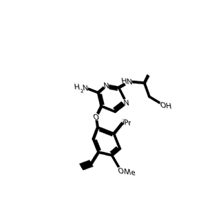 C#Cc1cc(Oc2cnc(NC(C)CO)nc2N)c(C(C)C)cc1OC